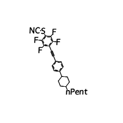 CCCCCC1CCC(c2ccc(C#Cc3c(F)c(F)c(SC#N)c(F)c3F)cc2)CC1